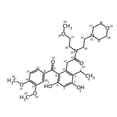 CCc1c(O)cc(O)c(C(=O)c2ccc(OC)c(OC)c2)c1CC(=O)N(CCOC)CCN1CCOCC1